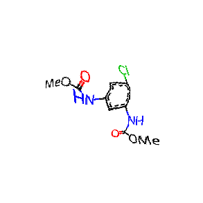 COC(=O)Nc1cc(Cl)cc(NC(=O)OC)c1